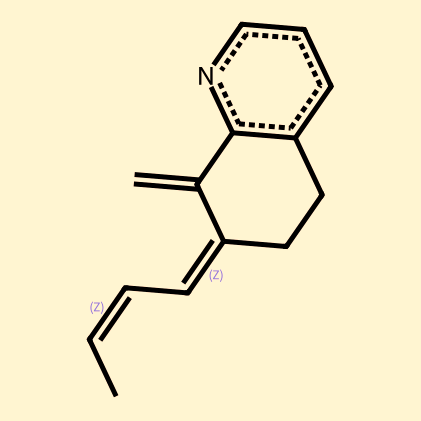 C=C1/C(=C\C=C/C)CCc2cccnc21